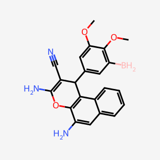 Bc1cc(C2C(C#N)=C(N)Oc3c(N)cc4ccccc4c32)cc(OC)c1OC